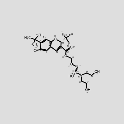 CC(C)(C)c1cc2c(cc1Cl)C=C(C(=O)OCO/N=[N+](\O)N(CCO)CCO)[C@@H](C(F)(F)F)O2